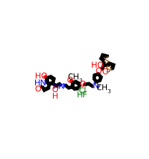 COc1cc(OCCCN(C)[C@H]2CC[C@H](OC(=O)C(O)(c3cccs3)c3cccs3)CC2)c(Cl)cc1CCNC[C@H](O)c1ccc(O)c2[nH]c(=O)ccc12.F